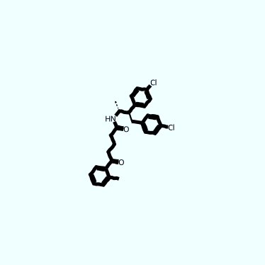 Cc1ccccc1C(=O)CCCC(=O)N[C@H](C)[C@H](Cc1ccc(Cl)cc1)c1ccc(Cl)cc1